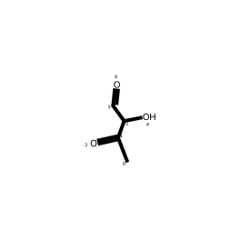 CC(=O)C(O)C=O